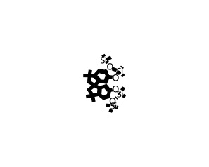 CC1(C)CC2(CC(C)(C)c3cc(O[Si](C)(C)C)c(O[Si](C)(C)C)cc32)c2cc(O[Si](C)(C)C)c(O[Si](C)(C)C)cc21